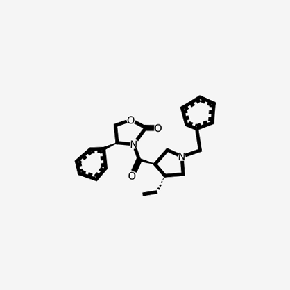 CC[C@H]1CN(Cc2ccccc2)C[C@@H]1C(=O)N1C(=O)OC[C@@H]1c1ccccc1